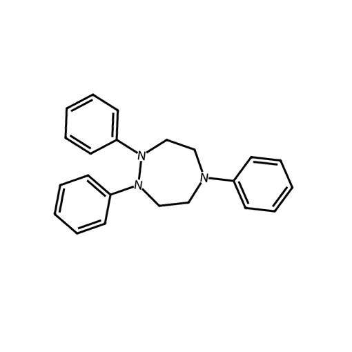 c1ccc(N2CCN(c3ccccc3)N(c3ccccc3)CC2)cc1